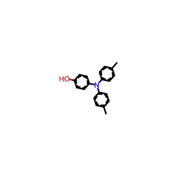 Cc1ccc(N(c2ccc(C)cc2)c2ccc(O)cc2)cc1